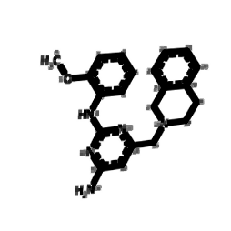 COc1ccccc1Nc1nc(N)cc(CN2CCc3ccccc3C2)n1